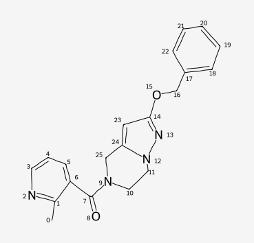 Cc1ncccc1C(=O)N1CCn2nc(OCc3ccccc3)cc2C1